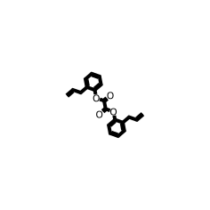 C=CCc1ccccc1OC(=O)C(=O)Oc1ccccc1CC=C